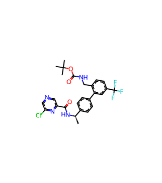 C[C@@H](NC(=O)c1cncc(Cl)n1)c1ccc(-c2cc(C(F)(F)F)ccc2CNC(=O)OC(C)(C)C)cc1